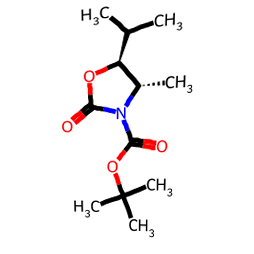 CC(C)[C@@H]1OC(=O)N(C(=O)OC(C)(C)C)[C@H]1C